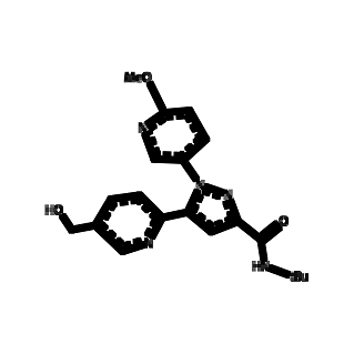 COc1ccc(-n2nc(C(=O)NC(C)(C)C)cc2-c2ccc(CO)cn2)cn1